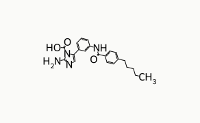 CCCCCc1ccc(C(=O)Nc2cccc(-c3cnc(N)n3C(=O)O)c2)cc1